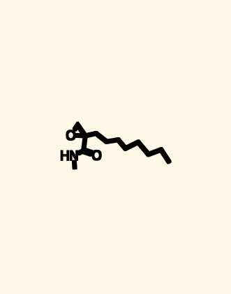 CCCCCCCCC1(C(=O)NC)CO1